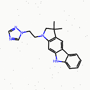 CC1(C)CN(CCn2cncn2)c2cc3[nH]c4ccccc4c3cc21